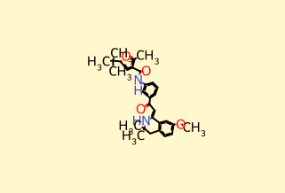 COc1ccc2c(c1)/C(=C/C(=O)c1cccc(NC(=O)c3cc(C(C)(C)C)oc3C)c1)NC(C)(C)C2